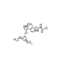 CO[C@@H]1CN(C)C[C@H]1COc1cnn(C)c1-c1ccn2nc(NC(=O)C3CC3)cc2c1